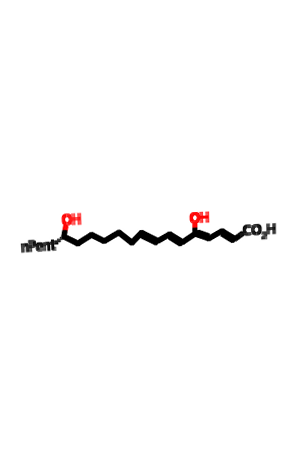 CCCCC[C@H](O)CCCCCC=CC=CC(O)=CC=CC(=O)O